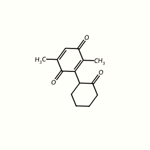 CC1=CC(=O)C(C)=C(C2CCCCC2=O)C1=O